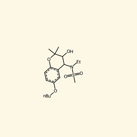 CCCCOc1ccc2c(c1)C(N(CC)S(C)(=O)=O)C(O)C(C)(C)O2